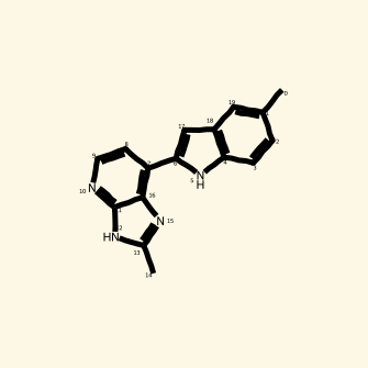 Cc1ccc2[nH]c(-c3ccnc4[nH]c(C)nc34)cc2c1